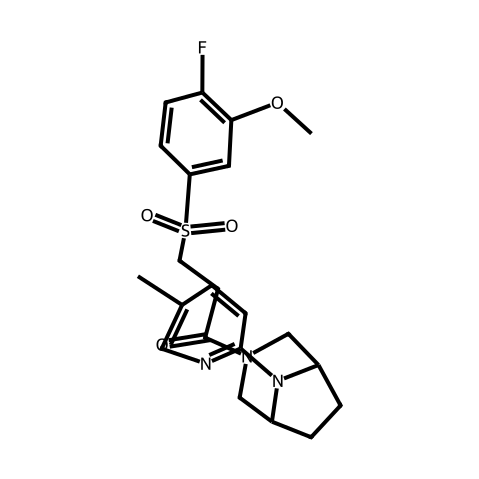 COc1cc(S(=O)(=O)CCC(=O)N2CC3CCC(C2)N3c2ccc(C)cn2)ccc1F